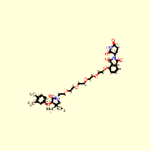 CC1(C)CN(CCOCCOCCOCCOCCOc2cccc3c2C(=O)N(C2CCC(=O)NC2=O)C3=O)C(=O)C1Oc1ccc(C#N)c(C(F)(F)F)c1